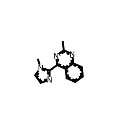 Cc1nc(-c2nccn2C)c2ccccc2n1